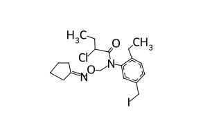 CCc1ccc(CI)cc1N(CON=C1CCCC1)C(=O)C(Cl)CC